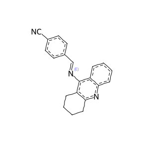 N#Cc1ccc(/C=N/c2c3c(nc4ccccc24)CCCC3)cc1